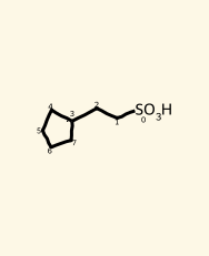 O=S(=O)(O)CC[C]1CCCC1